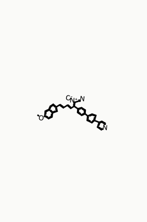 [C-]#[N+]C(C#N)=C(C=CC=Cc1ccc2cc(OC)ccc2c1)c1ccc(-c2ccc(-c3ccncc3)cc2)cc1